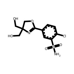 NS(=O)(=O)c1cc(C2=NC(CO)(CO)CO2)ccc1Cl